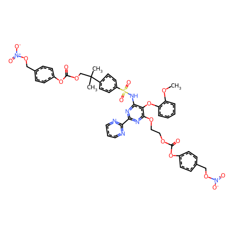 COc1ccccc1Oc1c(NS(=O)(=O)c2ccc(C(C)(C)COC(=O)Oc3ccc(CO[N+](=O)[O-])cc3)cc2)nc(-c2ncccn2)nc1OCCOC(=O)Oc1ccc(CO[N+](=O)[O-])cc1